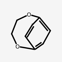 [c]1cc2ccc1OCCO2